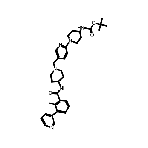 Cc1c(C(=O)NC2CCN(Cc3ccc(N4CCC(NC(=O)OC(C)(C)C)CC4)nc3)CC2)cccc1-c1cccnc1